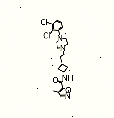 Cc1cnoc1C(=O)N[C@H]1C[C@H](CCN2CCN(c3cccc(Cl)c3Cl)CC2)C1